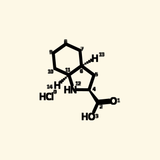 Cl.O=C(O)[C@@H]1C[C@@H]2CCCC[C@@H]2N1